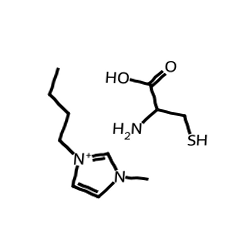 CCCC[n+]1ccn(C)c1.NC(CS)C(=O)O